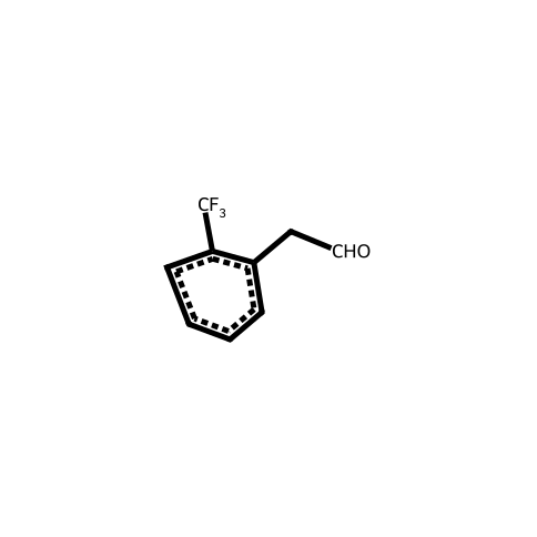 O=CCc1ccccc1C(F)(F)F